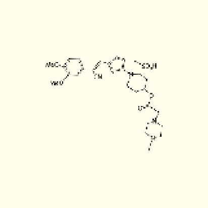 COc1ccc(C(C#N)=Cc2ccc(N3CCC(OC(=O)CN4CCN(C)CC4)CC3)s2)cc1OC.CS(=O)(=O)O